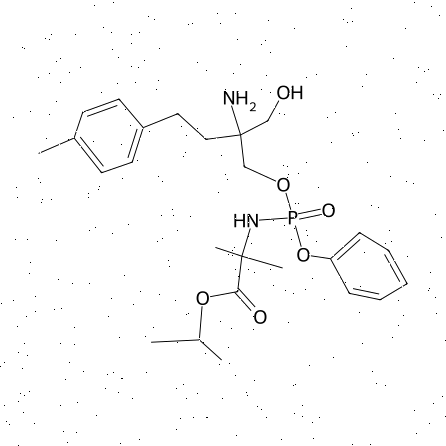 Cc1ccc(CCC(N)(CO)COP(=O)(NC(C)(C)C(=O)OC(C)C)Oc2ccccc2)cc1